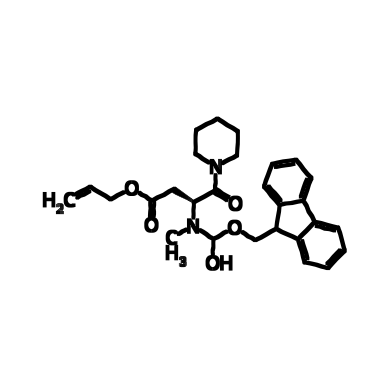 C=CCOC(=O)C[C@@H](C(=O)N1CCCCC1)N(C)C(O)OCC1c2ccccc2-c2ccccc21